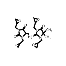 CC1(C)C(=O)N(CC2CO2)C(=O)N1CC1CO1.CC1C(=O)N(CC2CO2)C(=O)N1CC1CO1